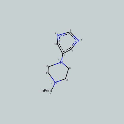 [CH2]CCCCN1CCN(c2cncnc2)CC1